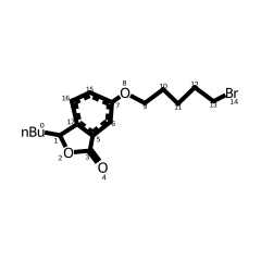 CCCCC1OC(=O)c2cc(OCCCCCBr)ccc21